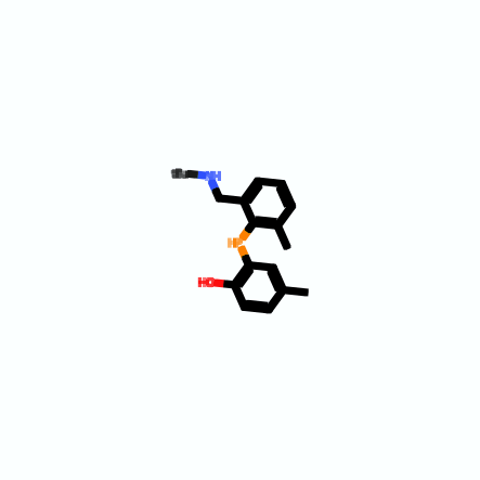 Cc1ccc(O)c(Pc2c(C)cccc2CNC(C)(C)C)c1